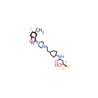 Cc1cc2c(N3CCN(CCC4CCC(NC(=O)C[C@H](O)C(F)(F)F)CC4)CC3)noc2cc1F